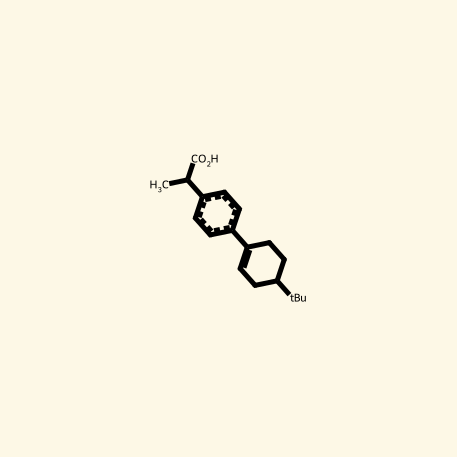 CC(C(=O)O)c1ccc(C2=CCC(C(C)(C)C)CC2)cc1